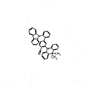 CC1(C)c2ccccc2N(c2cc(-c3ccccc3-n3c4ccccc4c4ccccc43)ccc2C#N)c2ccccc21